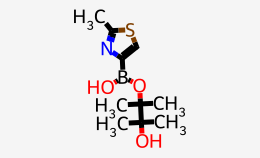 Cc1nc(B(O)OC(C)(C)C(C)(C)O)cs1